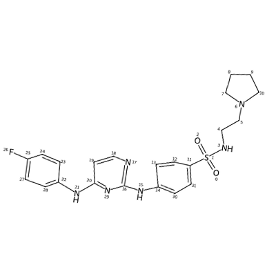 O=S(=O)(NCCN1CCCC1)c1ccc(Nc2nccc(Nc3ccc(F)cc3)n2)cc1